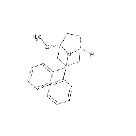 CO[C@@]12CC[C@@H](CC(c3ccccc3)C1)N2Cc1ccccc1